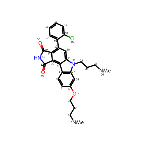 CNCCCOc1ccc2c3c4c(c(-c5ccccc5Cl)cc3n(CCCNC)c2c1)C(=O)NC4=O